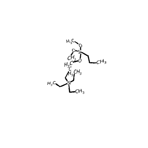 CCC[Si](OC)(OC)OC.CC[Si](CC)(CC)CC